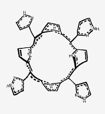 C1=Cc2nc1c(-c1cc[nH]n1)c1ccc([nH]1)c(-c1cc[nH]n1)c1nc(c(-c3cc[nH]n3)c3ccc([nH]3)c2-c2cc[nH]n2)C=C1